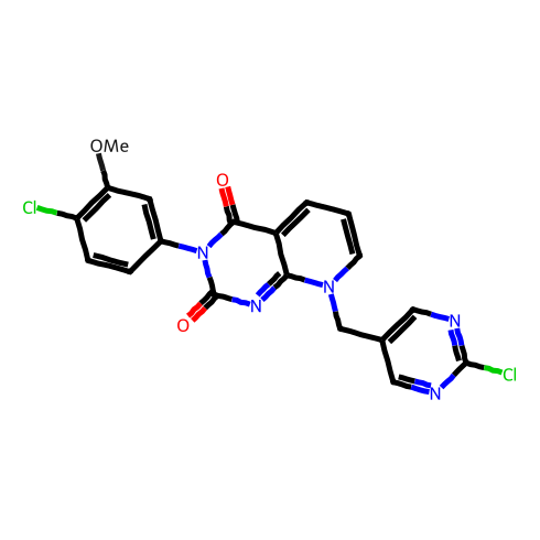 COc1cc(-n2c(=O)nc3n(Cc4cnc(Cl)nc4)cccc-3c2=O)ccc1Cl